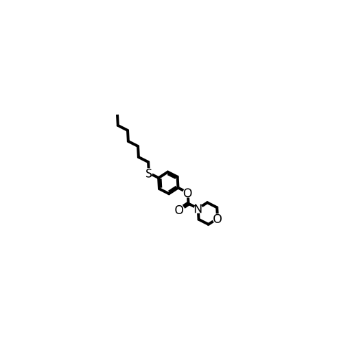 CCCCCCCSc1ccc(OC(=O)N2CCOCC2)cc1